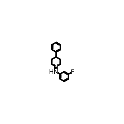 Fc1cccc(NN2CCC(c3ccccc3)CC2)c1